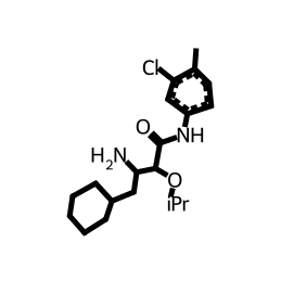 Cc1ccc(NC(=O)C(OC(C)C)C(N)CC2CCCCC2)cc1Cl